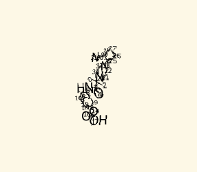 CC(C)(C(=O)NC1C2CC3CC1CC(OC(=O)O)(C3)C2)N1CCN(c2ccccc2C#N)CC1